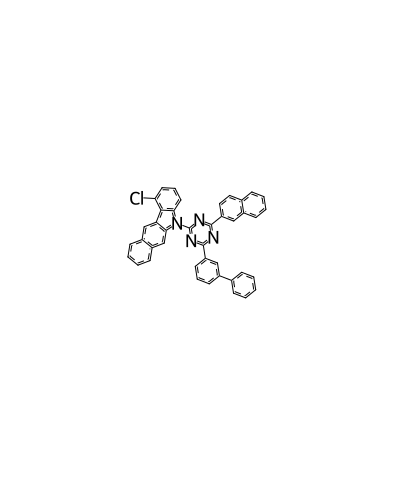 Clc1cccc2c1c1cc3ccccc3cc1n2-c1nc(-c2cccc(-c3ccccc3)c2)nc(-c2ccc3ccccc3c2)n1